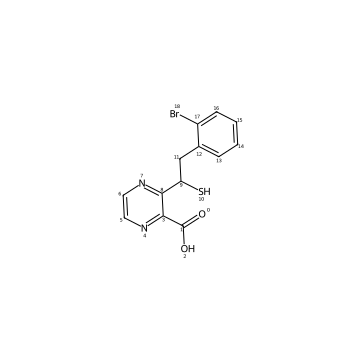 O=C(O)c1nccnc1C(S)Cc1ccccc1Br